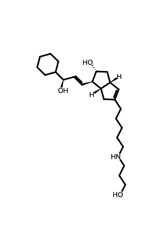 OCCCNCCCCCC1=C[C@H]2C[C@@H](O)[C@H](/C=C/[C@@H](O)C3CCCCC3)[C@H]2C1